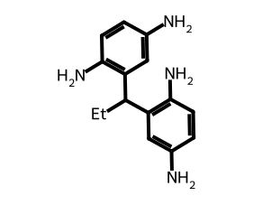 CCC(c1cc(N)ccc1N)c1cc(N)ccc1N